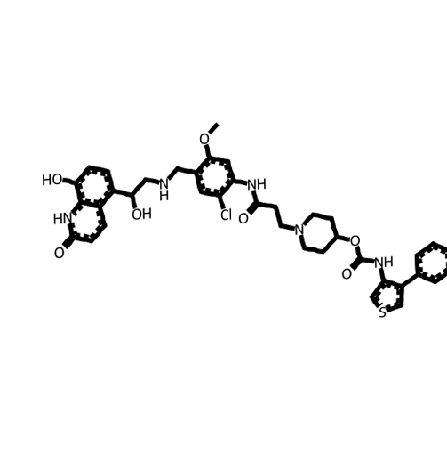 COc1cc(NC(=O)CCN2CCC(OC(=O)Nc3cscc3-c3ccccc3)CC2)c(Cl)cc1CNCC(O)c1ccc(O)c2[nH]c(=O)ccc12